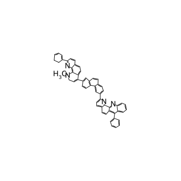 CN1CC=C(c2ccc3c(ccc4ccc(-c5ccc6ccc7c(-c8ccccc8)c8ccccc8nc7c6n5)cc43)c2)c2ccc3ccc(C4=CC=CCC4)nc3c21